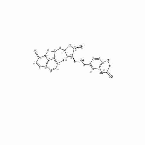 O=C1COc2ccc(CNC[C@H]3CN(CC4Cn5c(=O)ccc6ccc(F)c4c65)C[C@H]3O)nc2N1